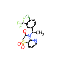 CC(c1ccc(Cl)c(C(F)(F)F)c1)N1C(=O)CS(=O)(=O)c2cccnc21